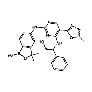 Cc1nnc(-c2cnc(Nc3ccc4c(c3)C(C)(C)OB4O)nc2N[C@H](CO)c2ccccc2)o1